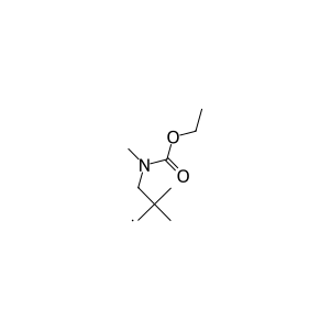 [CH2]C(C)(C)CN(C)C(=O)OCC